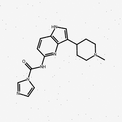 CN1CCC(c2c[nH]c3ccc(NC(=O)n4ccnc4)nc23)CC1